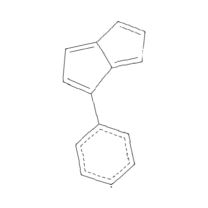 [c]1ccc(C2=CC=C3C=CC=C32)cc1